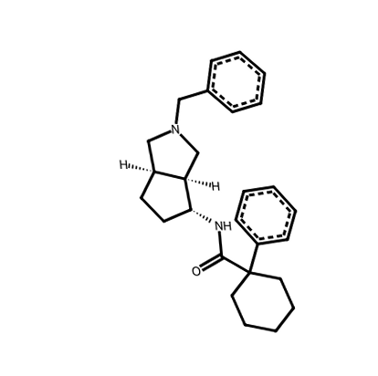 O=C(N[C@@H]1CC[C@H]2CN(Cc3ccccc3)C[C@H]21)C1(c2ccccc2)CCCCC1